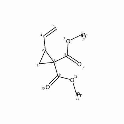 C=CC1CC1(C(=O)OC(C)C)C(=O)OC(C)C